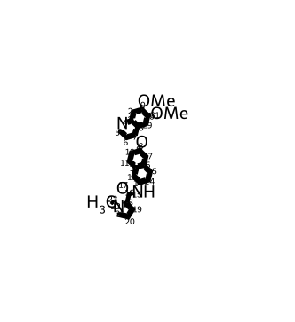 COc1cc2nccc(Oc3ccc4cc(NC(=O)c5cccn5C)ccc4c3)c2cc1OC